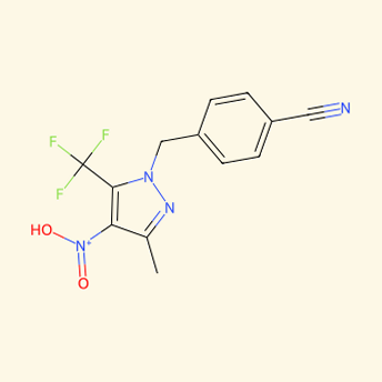 Cc1nn(Cc2ccc(C#N)cc2)c(C(F)(F)F)c1[N+](=O)O